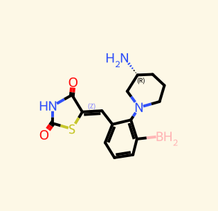 Bc1cccc(/C=C2\SC(=O)NC2=O)c1N1CCC[C@@H](N)C1